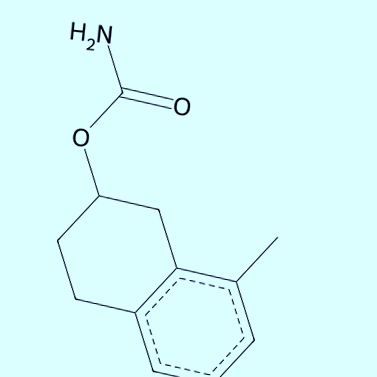 Cc1cccc2c1CC(OC(N)=O)CC2